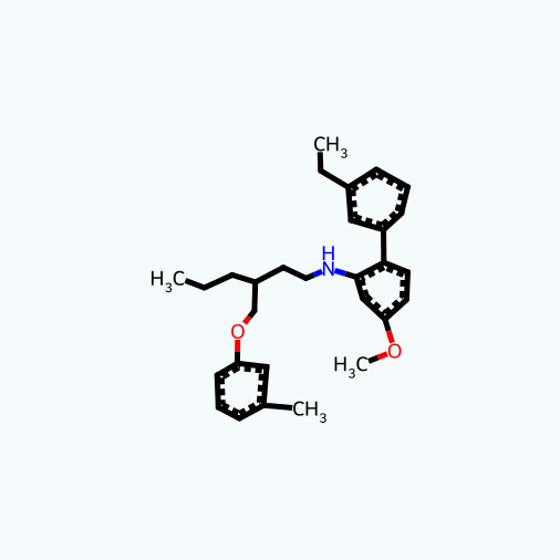 CCCC(CCNc1cc(OC)ccc1-c1cccc(CC)c1)COc1cccc(C)c1